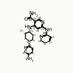 C[C@H]1CN(c2ccc(N)nn2)CC[C@H]1Nc1cc(NC2=NCCC=C2)ncc1C(N)=O